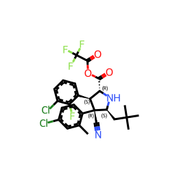 Cc1cc(Cl)ccc1[C@@]1(C#N)[C@H](CC(C)(C)C)N[C@@H](C(=O)OC(=O)C(F)(F)F)[C@@H]1c1cccc(Cl)c1F